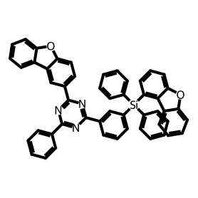 c1ccc(-c2nc(-c3cccc([Si](c4ccccc4)(c4ccccc4)c4cccc5oc6ccccc6c45)c3)nc(-c3ccc4oc5ccccc5c4c3)n2)cc1